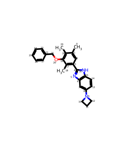 Cc1cc(-c2nc3cc(N4CCC4)ccc3[nH]2)c(C)c(OCc2ccccc2)c1C